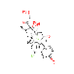 C=C1C[C@H]2[C@@H]3CC(F)C4=CC(=O)C=C[C@]4(C)[C@@]3(F)C(=O)C[C@]2(C)[C@@]1(O)C(=O)CO